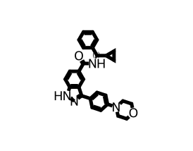 O=C(N[C@H](c1ccccc1)C1CC1)c1ccc2[nH]nc(-c3ccc(N4CCOCC4)cc3)c2c1